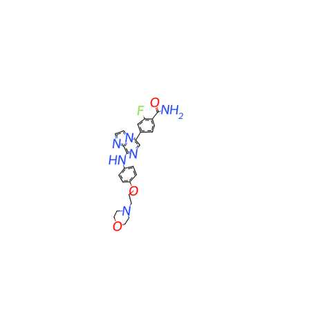 NC(=O)c1ccc(-c2cnc(Nc3ccc(OCCN4CCOCC4)cc3)c3nccn23)cc1F